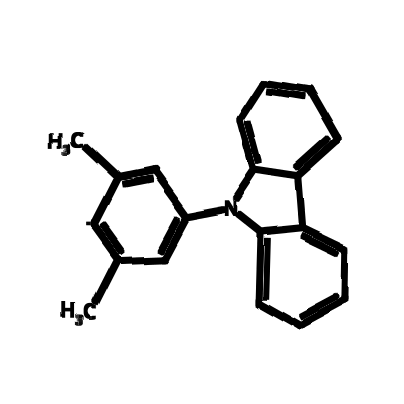 Cc1[c]c(C)cc(-n2c3ccccc3c3ccccc32)c1